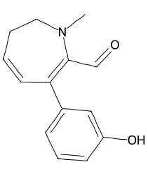 CN1CCC=CC(c2cccc(O)c2)=C1C=O